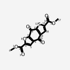 COC(=O)c1cc2c(o1)C(=O)c1sc(C(=O)OC)cc1C2=O